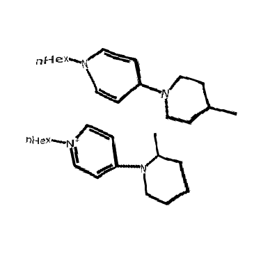 CCCCCCN1C=CC(N2CCC(C)CC2)C=C1.CCCCCC[n+]1ccc(N2CCCCC2C)cc1